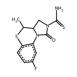 CC1Sc2ccc(F)cc2N2C(=O)N(C(N)=S)CC12